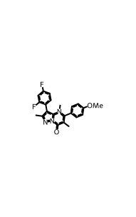 COc1ccc(-c2c(C)c(=O)n3nc(C)c(-c4ccc(F)cc4F)c3n2C)cc1